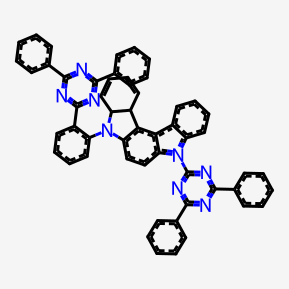 C1=CC2c3c(ccc4c3c3ccccc3n4-c3nc(-c4ccccc4)nc(-c4ccccc4)n3)N(c3ccccc3-c3nc(-c4ccccc4)nc(-c4ccccc4)n3)C2C=C1